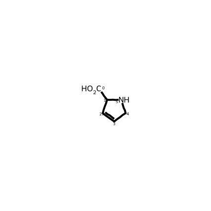 O=C(O)C1[C]=CCN1